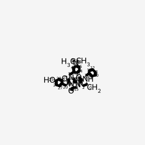 C=CCN(C(=O)NCc1ccccc1)N1CC(=O)N2[C@@H](Cc3ccc(O)cc3)C(=O)N(Cc3cccc(N(C)C)c3)C[C@@H]21